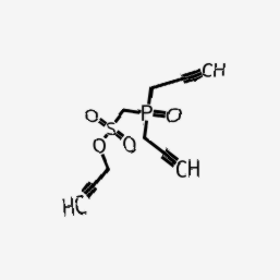 C#CCOS(=O)(=O)CP(=O)(CC#C)CC#C